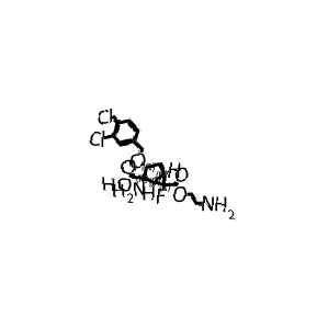 NCCOC(=O)[C@@]1(F)[C@@H]2C[C@@H](OCc3ccc(Cl)c(Cl)c3)[C@@](N)(C(=O)O)[C@@H]21